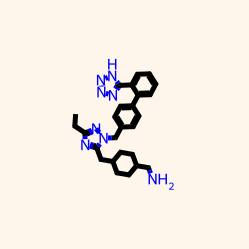 CCc1nc(CC2CCC(CN)CC2)n(Cc2ccc(-c3ccccc3-c3nnn[nH]3)cc2)n1